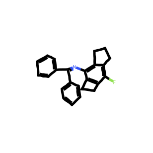 Fc1c2c(c(N=C(c3ccccc3)c3ccccc3)c3c1CC3)CCC2